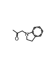 CC(=O)CN1CCc2ccccc21